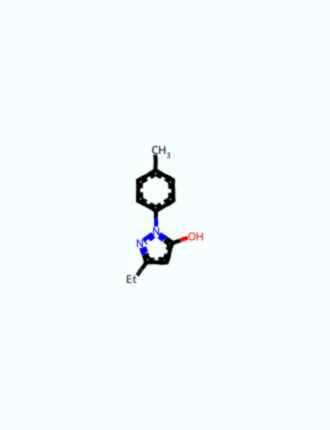 CCc1cc(O)n(-c2ccc(C)cc2)n1